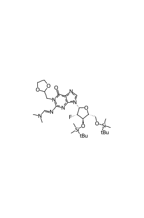 CN(C)C=Nc1nc2c(ncn2[C@@H]2O[C@H](CO[Si](C)(C)C(C)(C)C)[C@@H](O[Si](C)(C)C(C)(C)C)[C@@H]2F)c(=O)n1CC1OCCO1